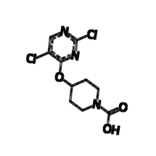 O=C(O)N1CCC(Oc2nc(Cl)ncc2Cl)CC1